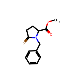 COC(=O)C1CCC(=S)N1Cc1ccccc1